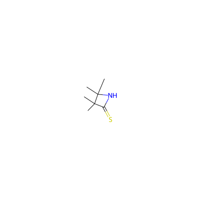 CC1(C)NC(=S)C1(C)C